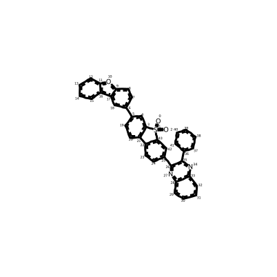 O=S1(=O)c2cc(-c3ccc4oc5ccccc5c4c3)ccc2-c2ccc(-c3nc4ccccc4nc3-c3ccccc3)cc21